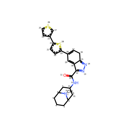 CN1C2CCCC1CC(NC(=O)C1=NN=C3CC=C(c4ccc(-c5ccsc5)s4)C=C31)C2